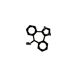 CC(C)(C)C1c2ccccc2-c2ncsc2-c2ccccc21